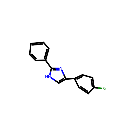 Brc1ccc(-c2c[nH]c(-c3ccccc3)n2)cc1